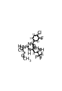 COCC(C)N/C(=N/C(=O)c1ccc(Cl)c(F)c1)N/C(N)=C/C(=N)C(F)(F)F